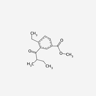 CCc1ccc(C(=O)OC)cc1C(=O)C(C)CC